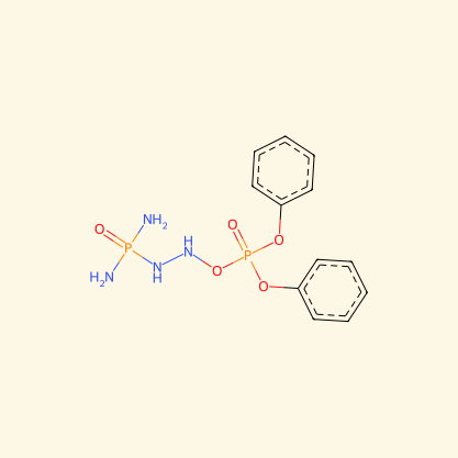 NP(N)(=O)NNOP(=O)(Oc1ccccc1)Oc1ccccc1